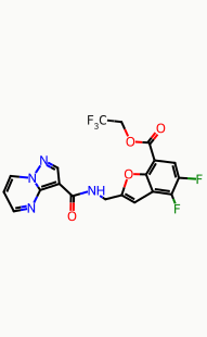 O=C(OCC(F)(F)F)c1cc(F)c(F)c2cc(CNC(=O)c3cnn4cccnc34)oc12